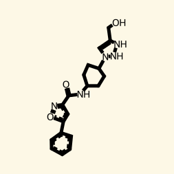 O=C(NC1CCC(N2C=C(CO)NN2)CC1)c1cc(-c2ccccc2)on1